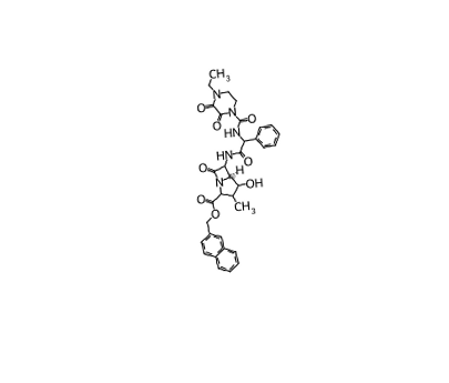 CCN1CCN(C(=O)NC(C(=O)NC2C(=O)N3C(C(=O)OCc4ccc5ccccc5c4)C(C)C(O)[C@H]23)c2ccccc2)C(=O)C1=O